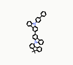 CC1(C)c2ccccc2-c2c(-n3c4ccccc4c4cc(-c5ccc6c(c5)c5ccccc5n6-c5ccc(-c6ccccc6)cc5)ccc43)cccc21